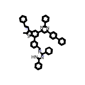 Cc1sc2c(-c3cccc(/C=N/C(=N\C(=N)c4ccccc4)C4=CC=CCC4)c3)cc(-c3cc(-c4ccc(-c5ccccc5)cc4)nc(-c4ccccc4)n3)cc2c1/C=C/c1ccccc1